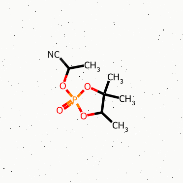 CC(C#N)OP1(=O)OC(C)C(C)(C)O1